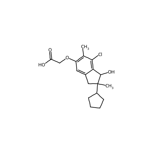 Cc1c(OCC(=O)O)cc2c(c1Cl)C(O)C(C)(C1CCCC1)C2